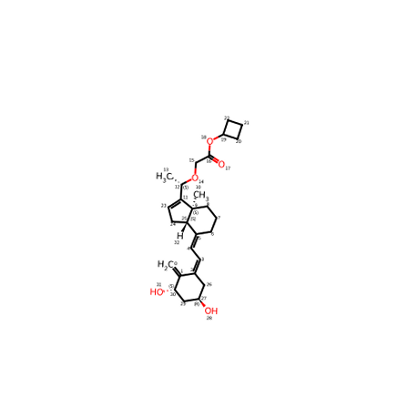 C=C1C(=CC=C2CCC[C@]3(C)C([C@H](C)OCC(=O)OC4CCC4)=CC[C@@H]23)C[C@@H](O)C[C@@H]1O